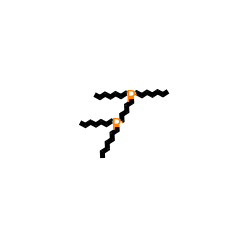 CCCCCCCP(CCCCCCC)CCCCCP(CCCCCCC)CCCCCCC